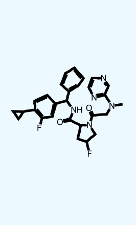 CN(CC(=O)N1CC(F)CC1C(=O)NC(c1ccccc1)c1ccc(C2CC2)c(F)c1)c1cnccn1